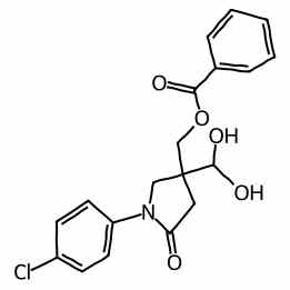 O=C(OCC1(C(O)O)CC(=O)N(c2ccc(Cl)cc2)C1)c1ccccc1